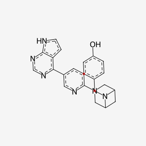 Oc1ccc(CN2C3CC2CN(c2ccc(-c4ncnc5[nH]ccc45)cn2)C3)cc1